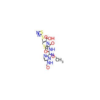 CCON=C(C(=O)NC1C(=O)N2C(C(=O)O)=C(CSc3nncs3)CS[C@@H]12)c1nccc(NC=O)n1